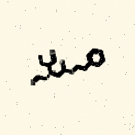 CCC(C=O)[C@@H](CC=O)CC(=O)OCCc1ccccc1